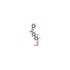 Cc1c(OCCO)ccc(-c2ccc(C(=O)OCc3ccccc3)cc2)c1C